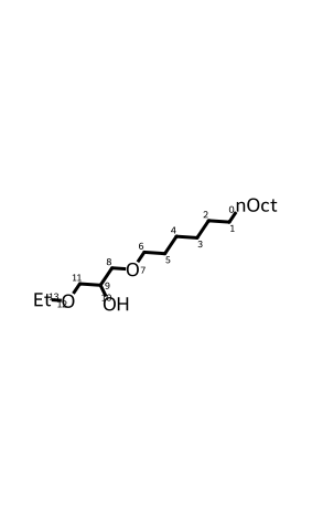 CCCCCCCCCCCCCCOCC(O)COCC